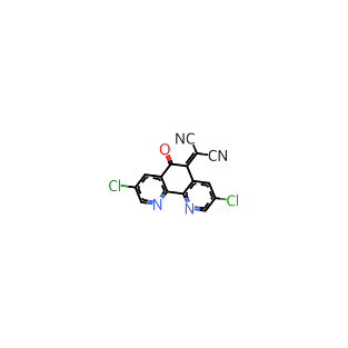 N#CC(C#N)=C1C(=O)c2cc(Cl)cnc2-c2ncc(Cl)cc21